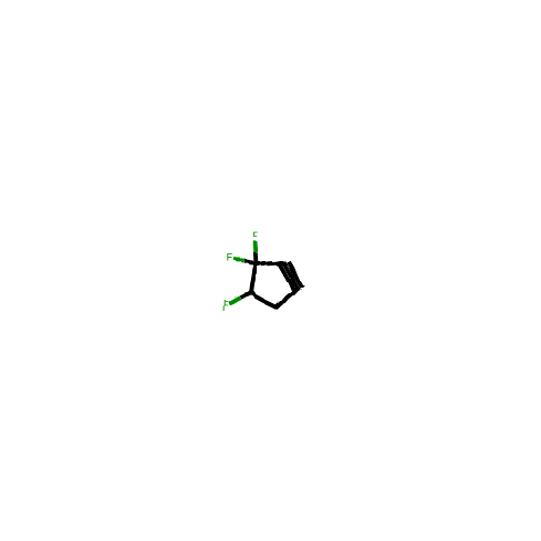 FC1CC#CC1(F)F